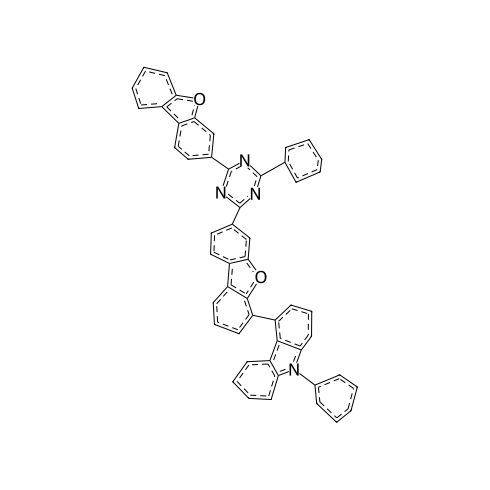 c1ccc(-c2nc(-c3ccc4c(c3)oc3ccccc34)nc(-c3ccc4c(c3)oc3c(-c5cccc6c5c5ccccc5n6-c5ccccc5)cccc34)n2)cc1